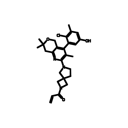 C=CC(=O)N1CC2(CCN(c3nc4c(c(-c5cc(O)cc(C)c5Cl)c3C)COC(C)(C)C4)C2)C1